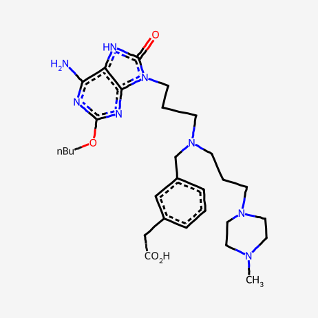 CCCCOc1nc(N)c2[nH]c(=O)n(CCCN(CCCN3CCN(C)CC3)Cc3cccc(CC(=O)O)c3)c2n1